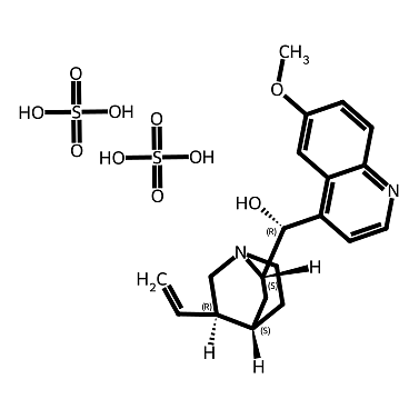 C=C[C@H]1CN2CC[C@H]1C[C@H]2[C@H](O)c1ccnc2ccc(OC)cc12.O=S(=O)(O)O.O=S(=O)(O)O